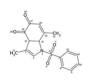 CC1=CN(S(=O)(=O)c2ccccc2)C2C(C)=CC(=O)C(=O)C12